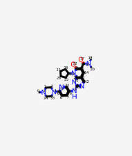 CN1CCN(c2ccc(Nc3ncc4cc(C(=O)N(C)C)c(=O)n(C5CCCC5)c4n3)cn2)CC1